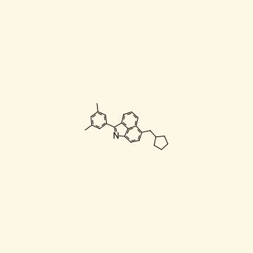 Cc1cc(C)cc(C2=Nc3ccc(CC4CCCC4)c4cccc2c34)c1